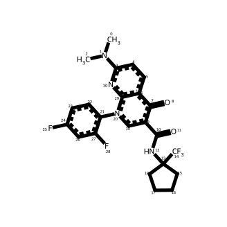 CN(C)c1ccc2c(=O)c(C(=O)NC3(C(F)(F)F)CCCC3)cn(-c3ccc(F)cc3F)c2n1